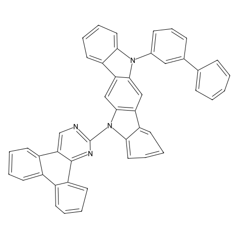 c1ccc(-c2cccc(-n3c4ccccc4c4cc5c(cc43)c3ccccc3n5-c3ncc4c5ccccc5c5ccccc5c4n3)c2)cc1